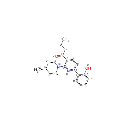 CCCC(=O)c1cnc(-c2ccccc2O)nc1N1CCC(C)CC1